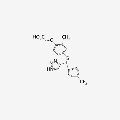 Cc1cc(SC(c2ccc(C(F)(F)F)cc2)c2c[nH]nn2)ccc1OCC(=O)O